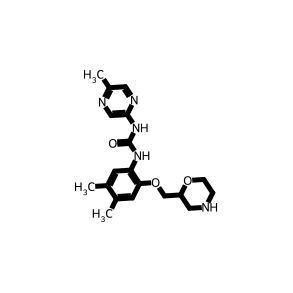 Cc1cnc(NC(=O)Nc2cc(C)c(C)cc2OCC2CNCCO2)cn1